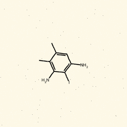 Cc1cc(N)c(I)c(N)c1C